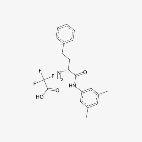 Cc1cc(C)cc(NC(=O)[C@H](N)CCc2ccccc2)c1.O=C(O)C(F)(F)F